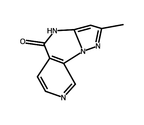 Cc1cc2[nH]c(=O)c3ccncc3n2n1